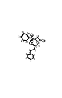 O=C(CCc1ccccc1)CN1C(=O)CC1S(=O)(=O)c1ccccc1